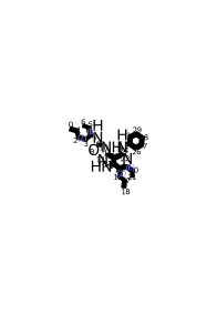 C=C/C=C\C(=C/C)NC(=O)Nc1n[nH]c2c(=C/C=C)/c(=C\C)nc(Nc3ccccc3)c12